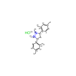 Cc1ccc(C2CC(c3ccc(C)cc3C)N(C)N2C)c(C)c1.Cl